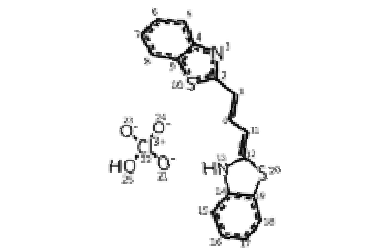 C(=Cc1nc2ccccc2s1)C=C1Nc2ccccc2S1.[O-][Cl+3]([O-])([O-])O